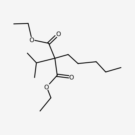 CCCCCC(C(=O)OCC)(C(=O)OCC)C(C)C